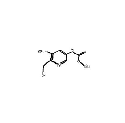 CCOC(=O)c1cc(NC(=O)OC(C)(C)C)cnc1CC#N